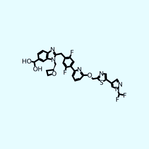 OC(O)c1ccc2nc(Cc3cc(F)c(-c4cccc(OCc5ncc(-c6cnn(C(F)F)c6)s5)n4)cc3F)n(C[C@@H]3CCO3)c2c1